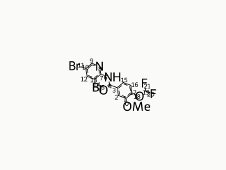 COc1cc(C(=O)Nc2ncc(Br)cc2Br)ccc1OC(F)F